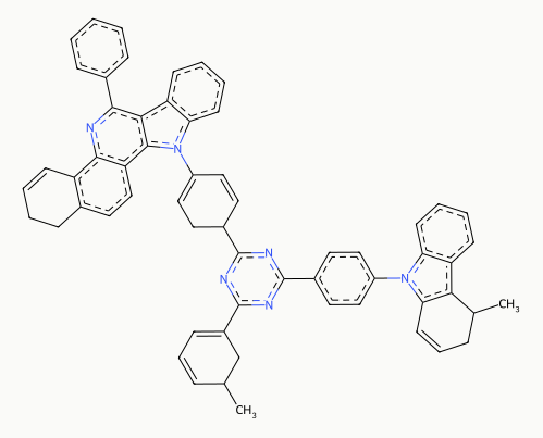 CC1C=CC=C(c2nc(-c3ccc(-n4c5c(c6ccccc64)C(C)CC=C5)cc3)nc(C3C=CC(n4c5ccccc5c5c(-c6ccccc6)nc6c7c(ccc6c54)CCC=C7)=CC3)n2)C1